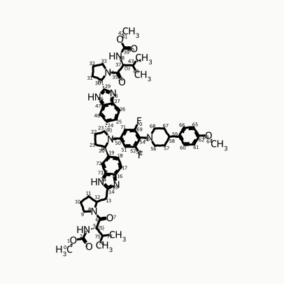 COC(=O)N[C@H](C(=O)N1CCCC1Cc1nc2ccc([C@H]3CC[C@H](c4ccc5nc([C@@H]6CCCN6C(=O)[C@@H](NC(=O)OC)C(C)C)[nH]c5c4)N3c3cc(F)c(N4CCC(c5ccc(OC)cc5)CC4)c(F)c3)cc2[nH]1)C(C)C